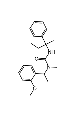 CCC(C)(NC(=O)N(C)C(C)c1ccccc1OC)c1ccccc1